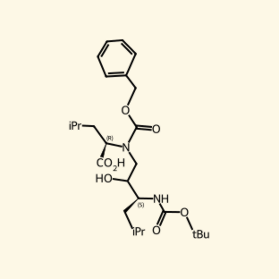 CC(C)C[C@H](NC(=O)OC(C)(C)C)C(O)CN(C(=O)OCc1ccccc1)[C@H](CC(C)C)C(=O)O